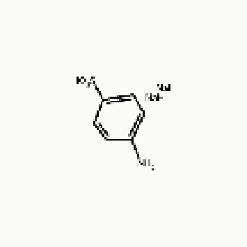 Nc1ccc(S(=O)(=O)O)cc1.[NaH].[NaH]